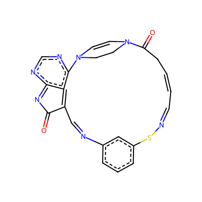 O=C1N=c2ncnc3c2=C1/C=N\c1cccc(c1)S/N=C\C=C/CC(=O)N1C=CN3CC1